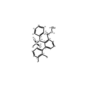 Cc1cccc(-c2cccc(C(=O)OC(C)(C)C)c2N(c2ccccc2)S(C)(=O)=O)c1C